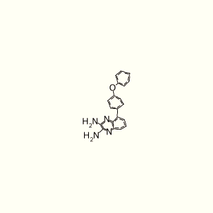 Nc1nc2cccc(-c3ccc(Oc4ccccc4)cc3)c2nc1N